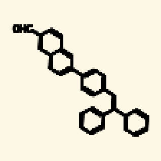 O=Cc1ccc2cc(-c3ccc(C=C(c4ccccc4)c4ccccc4)cc3)ccc2c1